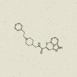 O=C(NCC1CCN(CCc2ccccc2)CC1)C1=Cc2n[nH]c3cccc(c23)S1